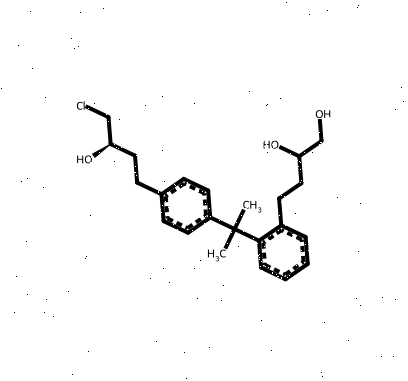 CC(C)(c1ccc(CC[C@@H](O)CCl)cc1)c1ccccc1CCC(O)CO